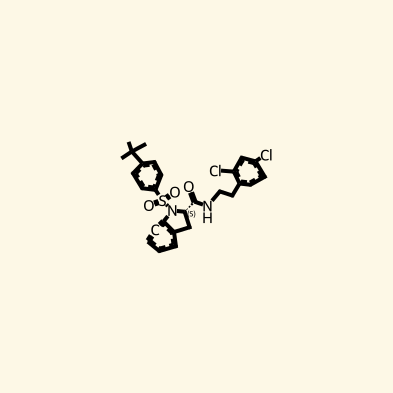 CC(C)(C)c1ccc(S(=O)(=O)N2c3ccccc3C[C@H]2C(=O)NCCc2ccc(Cl)cc2Cl)cc1